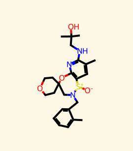 Cc1ccccc1CN1CC2(CCOCC2)Oc2nc(NCC(C)(C)O)c(C)cc2[S+]1[O-]